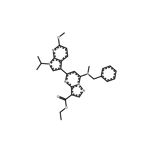 CCOC(=O)c1cnn2c(N(C)Cc3ccccc3)cc(-c3cn(C(C)C)c4nc(OC)ccc34)nc12